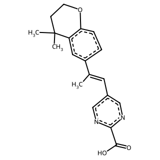 C/C(=C\c1cnc(C(=O)O)nc1)c1ccc2c(c1)C(C)(C)CCO2